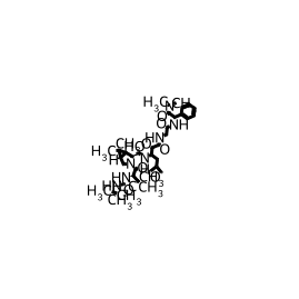 CN(C)C(=O)[C@@H](NC(=O)CNC(=O)C(=O)C(CC1COC1)NC(=O)[C@@H]1[C@@H]2[C@H](CN1C(=O)[C@@H](NC(=O)NC(C)(C)C)C(C)(C)C)C2(C)C)c1ccccc1